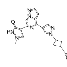 Cn1cc(-c2cn3nccc3c(-c3cnn(C4CC(C#N)C4)c3)n2)c(=O)[nH]1